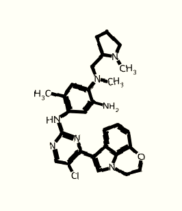 Cc1cc(N(C)CC2CCCN2C)c(N)cc1Nc1ncc(Cl)c(-c2cn3c4c(cccc24)OCC3)n1